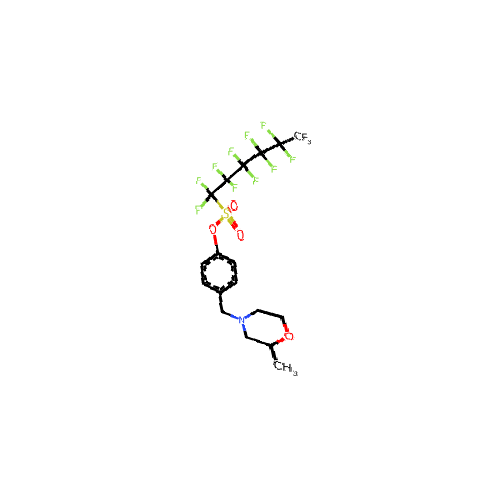 CC1CN(Cc2ccc(OS(=O)(=O)C(F)(F)C(F)(F)C(F)(F)C(F)(F)C(F)(F)C(F)(F)F)cc2)CCO1